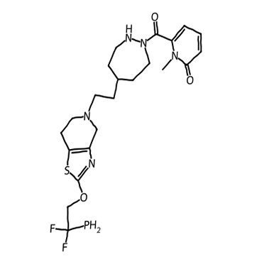 Cn1c(C(=O)N2CCC(CCN3CCc4sc(OCC(F)(F)P)nc4C3)CCN2)cccc1=O